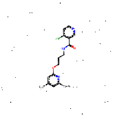 CC(=O)Nc1cc(C(F)(F)F)cc(OCCCNC(=O)c2cnccc2Cl)n1